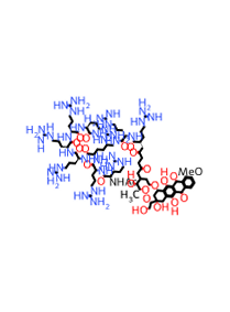 COc1cccc2c1C(=O)c1c(O)c3c(c(O)c1C2=O)C[C@](O)(C(=O)CO)C[C@@H]3OC1CC(CC(=O)CCC(=O)C[C@@H](CCCNC(=N)N)C(=O)N[C@@H](CCCNC(=N)N)C(=O)NCCCCC(NC(=O)C(CCCNC(=N)N)NC(=O)C(CCCNC(=N)N)NC(C)=O)C(=O)N[C@@H](CCCNC(=N)N)C(=O)N[C@@H](CCCNC(=N)N)C(=O)N[C@@H](CCCNC(=N)N)C(=O)N[C@@H](CCCNC(=N)N)C(N)=O)C(O)C(C)O1